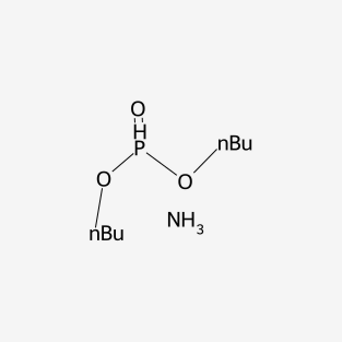 CCCCO[PH](=O)OCCCC.N